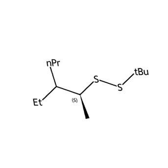 CCCC(CC)[C@H](C)SSC(C)(C)C